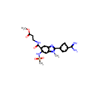 COC(=O)CCNC(=O)c1cc2nc(-c3ccc(C(=N)N)cc3)n(C)c2cc1NS(C)(=O)=O